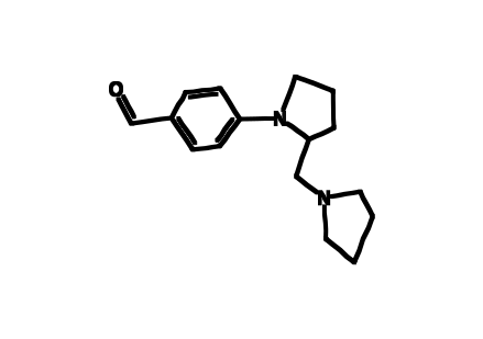 O=Cc1ccc(N2CCCC2CN2CCCC2)cc1